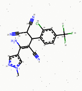 Cn1cc(/C(N)=C(\C#N)C(c2ccc(C(F)(F)F)cc2Cl)C(C#N)C#N)cn1